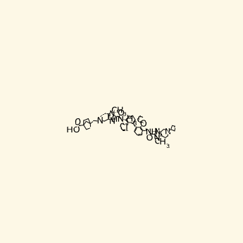 COc1c(NC(=O)c2nc3c(n2C)CCN(C2CCC2)C3)cccc1-c1cccc(NC(=O)c2nc3c(n2C)CCN(CCC24CCC(C(=O)O)(CC2)C4)C3)c1Cl